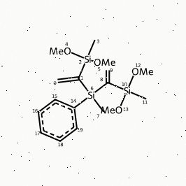 C=C([Si](C)(OC)OC)[Si](C)(C(=C)[Si](C)(OC)OC)c1ccccc1